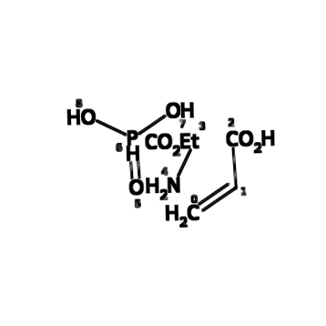 C=CC(=O)O.CCOC(N)=O.O=[PH](O)O